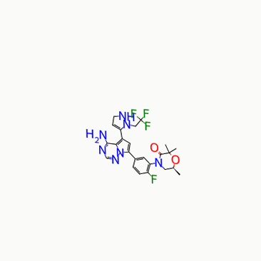 C[C@H]1CN(c2cc(-c3cc(C4=CCNN4CC(F)(F)F)c4c(N)ncnn34)ccc2F)C(=O)C(C)(C)O1